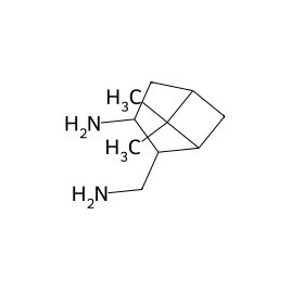 CC1(C)C2CC(N)C(CN)C1C2